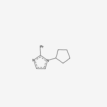 CC(C)c1nccn1C1CCCC1